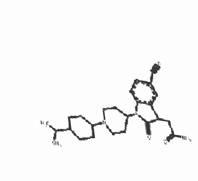 CC(C)C1CCC(N2CCC(N3C(=O)C(CC(N)=O)c4cc(C#N)ccc43)CC2)CC1